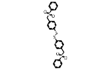 O=S(=O)(Cc1ccc(SSc2ccc(CS(=O)(=O)c3ccccc3)cc2)cc1)c1ccccc1